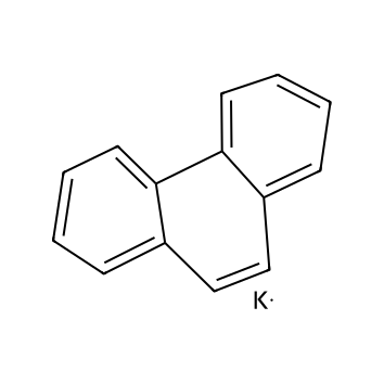 [K].c1ccc2c(c1)ccc1ccccc12